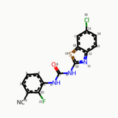 N#Cc1cccc(NC(=O)Nc2nc3ccc(Cl)cc3s2)c1F